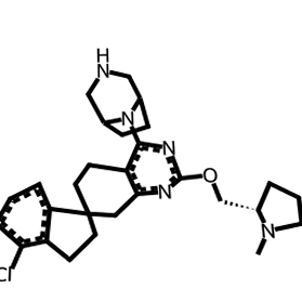 CN1CCC[C@H]1COc1nc2c(c(N3C4CCC3CNC4)n1)CCC1(CCc3c(Cl)cccc31)C2